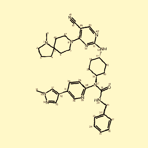 CN1CCCC12CCN(c1nc(N[C@H]3CC[C@H](N(C(=O)NCc4ccccc4)c4ccc(-c5cnn(C)c5)cn4)CC3)ncc1C#N)CC2